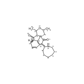 CC1C[N+](C(=O)N=C2CCCCCCN2)(c2ccccc2)C(C(N)=O)C(C)O1